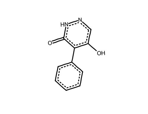 O=c1[nH]ncc(O)c1-c1ccccc1